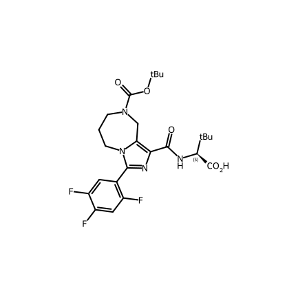 CC(C)(C)OC(=O)N1CCCn2c(-c3cc(F)c(F)cc3F)nc(C(=O)N[C@H](C(=O)O)C(C)(C)C)c2C1